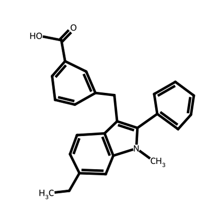 CCc1ccc2c(Cc3cccc(C(=O)O)c3)c(-c3ccccc3)n(C)c2c1